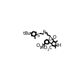 CC1=C(C(=O)O)C(c2cccc([N+](=O)[O-])c2)C(C(=O)OCCCN(C)CCSc2ccc(C(C)(C)C)cc2C)=C(C)N1